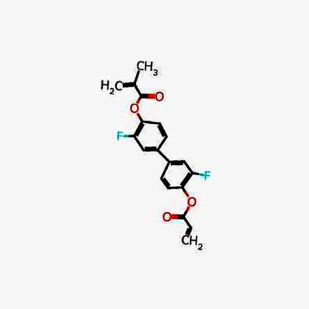 C=CC(=O)Oc1ccc(-c2ccc(OC(=O)C(=C)C)c(F)c2)cc1F